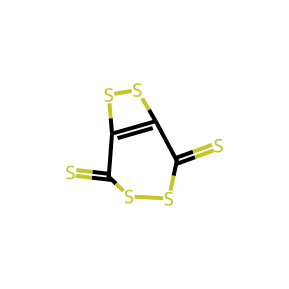 S=c1ssc(=S)c2ssc12